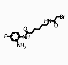 Nc1cc(F)ccc1NC(=O)CCCCCNC(=O)CBr